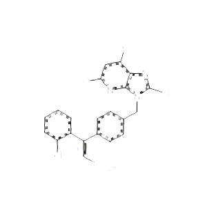 CCOC(=O)/C=C(\c1ccc(Cn2c(CC)nc3c(C)cc(C)nc32)cc1)c1ccccc1Cl